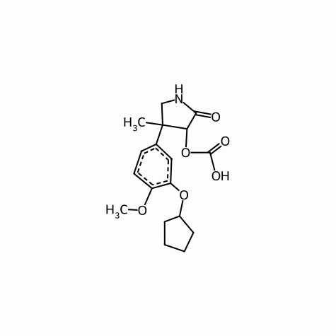 COc1ccc(C2(C)CNC(=O)C2OC(=O)O)cc1OC1CCCC1